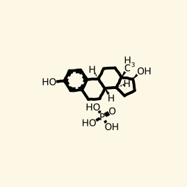 C[C@]12CC[C@@H]3c4ccc(O)cc4CC[C@H]3[C@@H]1CC[C@@H]2O.O=P(O)(O)O